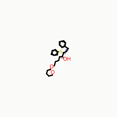 O[C@@H](CCCCOC1CCCCO1)[C@@H](/C=C\c1ccccc1)Sc1ccccc1